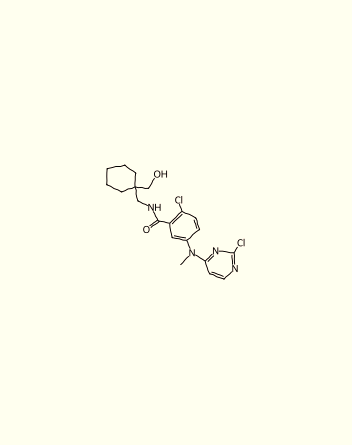 CN(c1ccc(Cl)c(C(=O)NCC2(CO)CCCCC2)c1)c1ccnc(Cl)n1